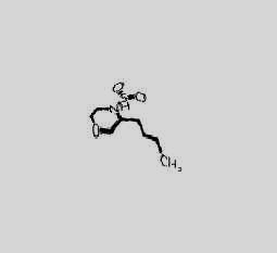 CCCCC1COCCN1[SH](=O)=O